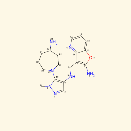 Cn1ncc(NCc2c(N)oc3cccnc23)c1N1CCCC(N)CC1